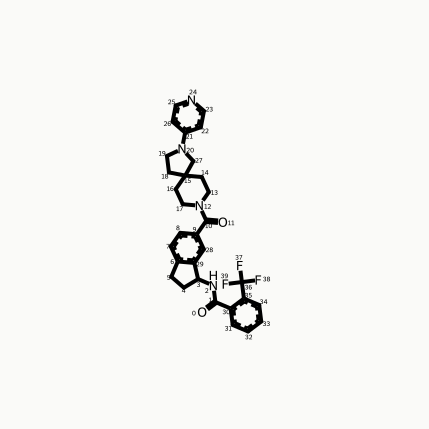 O=C(NC1CCc2ccc(C(=O)N3CCC4(CC3)CCN(c3ccncc3)C4)cc21)c1ccccc1C(F)(F)F